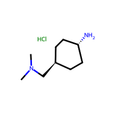 CN(C)C[C@H]1CC[C@H](N)CC1.Cl